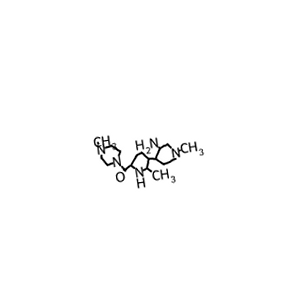 CC1NC(C(=O)N2CCN(C)CC2)CCC1C1CCN(C)CC1N